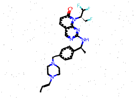 CC=CN1CCN(Cc2ccc([C@H](C)Nc3ncc4ccc(=O)n([C@@H](CF)C(F)F)c4n3)cc2)CC1